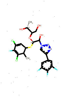 CC1C(Cl)=C(F)C(Cl)=CC1S[C@@H](OC(CO)[C@@H](C)O)C(O)n1cc(-c2cc(F)c(F)c(F)c2)nn1